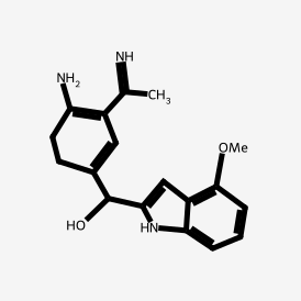 COc1cccc2[nH]c(C(O)C3=CC(C(C)=N)=C(N)CC3)cc12